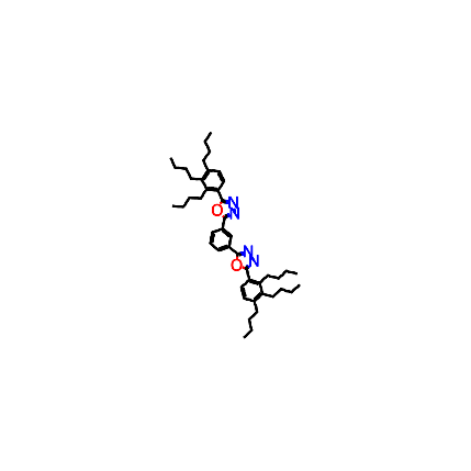 CCCCc1ccc(-c2nnc(-c3cccc(-c4nnc(-c5ccc(CCCC)c(CCCC)c5CCCC)o4)c3)o2)c(CCCC)c1CCCC